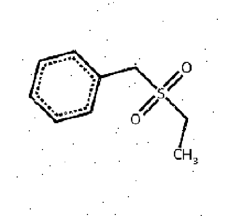 CCS(=O)(=O)[CH]c1ccccc1